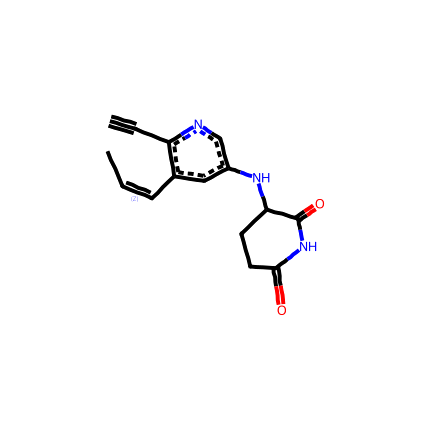 C#Cc1ncc(NC2CCC(=O)NC2=O)cc1/C=C\C